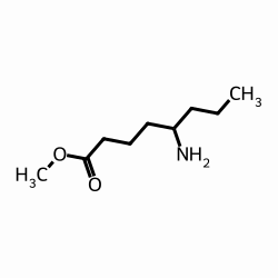 CCCC(N)CCCC(=O)OC